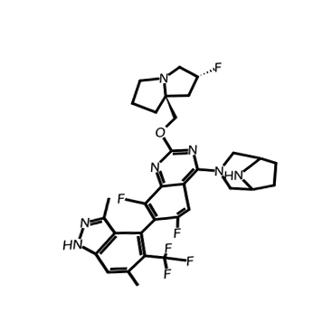 Cc1cc2[nH]nc(C)c2c(-c2c(F)cc3c(N4CC5CCC(C4)N5)nc(OC[C@@]45CCCN4C[C@H](F)C5)nc3c2F)c1C(F)(F)F